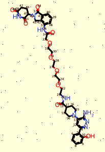 Nc1nnc(-c2ccccc2O)cc1N1CCC(C(=O)NCCOCCOCCOCCOCC(=O)Nc2cccc3c2CN(C2CCC(=O)NC2=O)C3=O)CC1